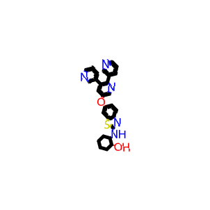 O[C@@H]1CCCC[C@H]1Nc1nc2ccc(Oc3cnc(-c4cccnc4)c(-c4cccnc4)c3)cc2s1